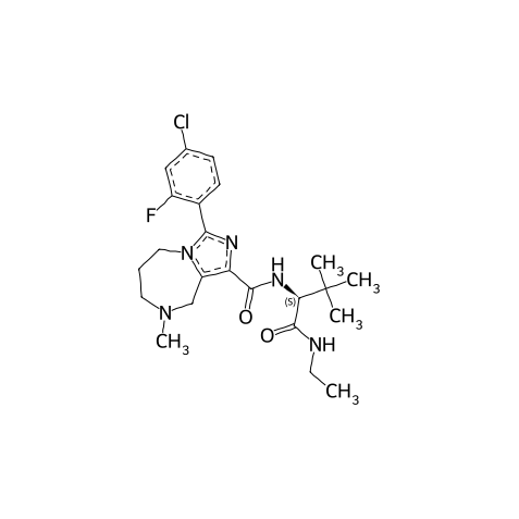 CCNC(=O)[C@@H](NC(=O)c1nc(-c2ccc(Cl)cc2F)n2c1CN(C)CCC2)C(C)(C)C